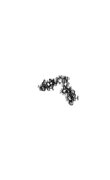 COc1cc2nn(C3CCC(CN(C)C4CCN(c5cccc6c5n(C)c(=O)n6C5CCC(=O)NC5=O)CC4)CC3)cc2cc1NC(=O)OC(C)(C)C